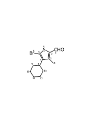 Cc1c(C=O)sc(Br)c1C1CCCCC1